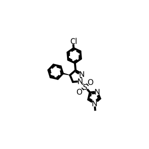 Cn1cnc(S(=O)(=O)N2C[C@@H](c3ccccc3)C(c3ccc(Cl)cc3)=N2)c1